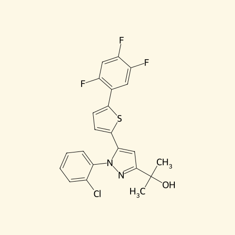 CC(C)(O)c1cc(-c2ccc(-c3cc(F)c(F)cc3F)s2)n(-c2ccccc2Cl)n1